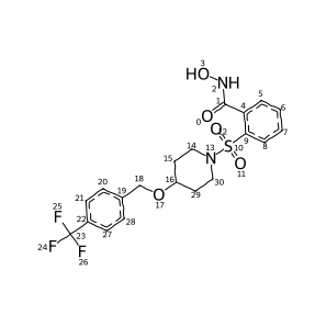 O=C(NO)c1ccccc1S(=O)(=O)N1CCC(OCc2ccc(C(F)(F)F)cc2)CC1